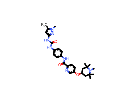 CN1C(C)(C)CC(Oc2ccc(C(=O)Nc3ccc(NC(=O)Nc4cc(C(F)(F)F)n(C)n4)cc3)nc2)CC1(C)C